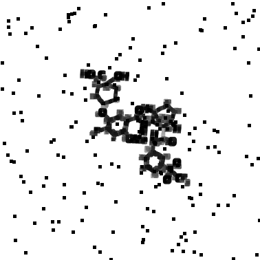 COc1cc(F)c(O[C@H]2CC[C@@](O)(C(=O)O)CC2)cc1C(=O)N[C@@H]1[C@@H]2CC[C@@H](C2)[C@@H]1C(=O)Nc1cccc(S(=O)(=O)C(F)(F)F)c1